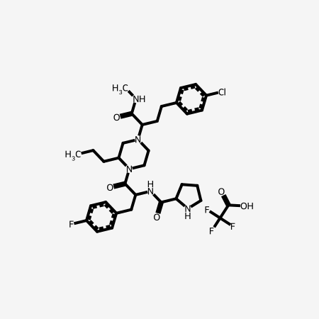 CCCC1CN(C(CCc2ccc(Cl)cc2)C(=O)NC)CCN1C(=O)C(Cc1ccc(F)cc1)NC(=O)C1CCCN1.O=C(O)C(F)(F)F